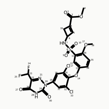 COC(=O)C1=CC(NS(=O)(=O)c2cc(Oc3c(Cl)cc(-n4nc(C(F)F)c(=O)[nH]c4=O)cc3Cl)ccc2OC)C1